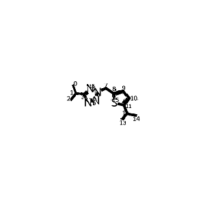 CC(C)c1nnn(Cc2ccc(C(C)C)s2)n1